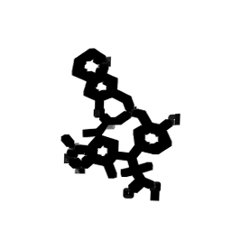 CC[C@@H]1CN(Cc2cc(C(c3ccc4c(nnn4C)c3C)C(C)(C)C(=O)OC)ccc2Cl)Cc2cc3ncccc3cc2O1